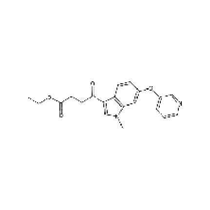 CCOC(=O)CCC(=O)c1cn(C)c2cc(Oc3cccnc3)ccc12